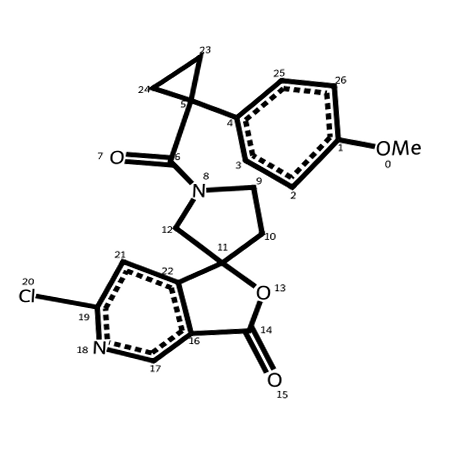 COc1ccc(C2(C(=O)N3CCC4(C3)OC(=O)c3cnc(Cl)cc34)CC2)cc1